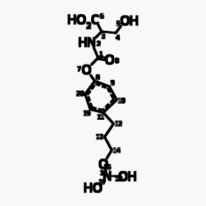 O=C(NC(CO)C(=O)O)Oc1ccc(CCCON(O)O)cc1